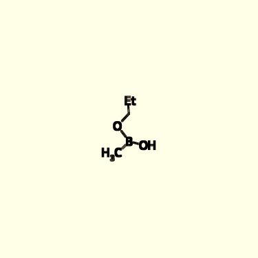 CCCOB(C)O